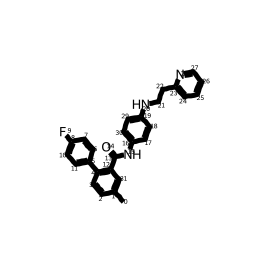 Cc1ccc(-c2ccc(F)cc2)c(C(=O)Nc2ccc(NCCc3ccccn3)cc2)c1